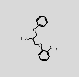 Cc1ccccc1OCC(C)COc1ccccc1